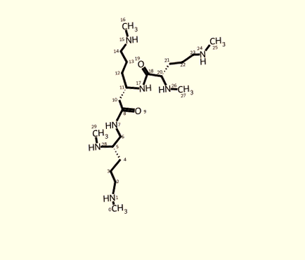 CNCCC[C@@H](CNC(=O)C[C@H](CCCNC)NC(=O)[C@H](CCCNC)NC)NC